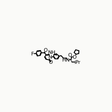 CC(C)C[C@@H](NCCCc1ccc(-n2c(N)c(C(=O)c3ccc(F)cc3)ccc2=O)cc1)C(=O)OC1CCCC1